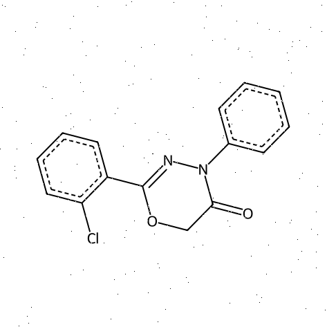 O=C1COC(c2ccccc2Cl)=NN1c1ccccc1